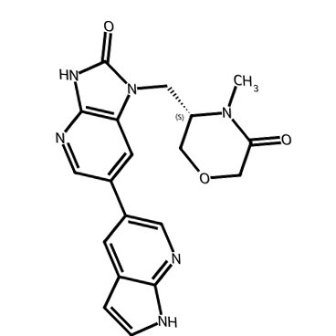 CN1C(=O)COC[C@@H]1Cn1c(=O)[nH]c2ncc(-c3cnc4[nH]ccc4c3)cc21